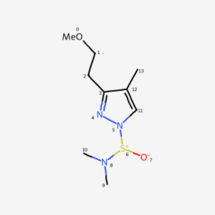 COCCc1nn([S+]([O-])N(C)C)cc1C